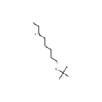 CCNCCCCCOC(C)(C)C